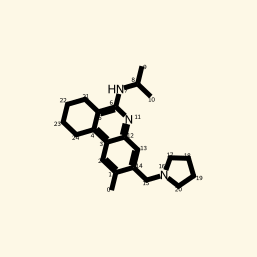 Cc1cc2c3c(c(NC(C)C)nc2cc1CN1CCCC1)CCCC3